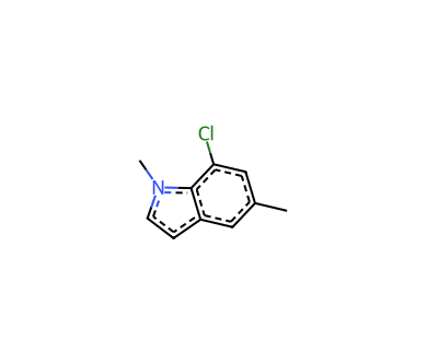 Cc1cc(Cl)c2c(ccn2C)c1